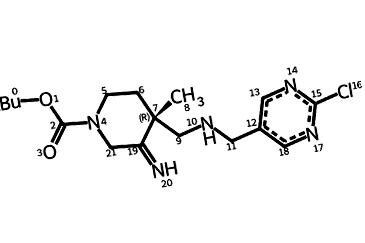 CC(C)(C)OC(=O)N1CC[C@](C)(CNCc2cnc(Cl)nc2)C(=N)C1